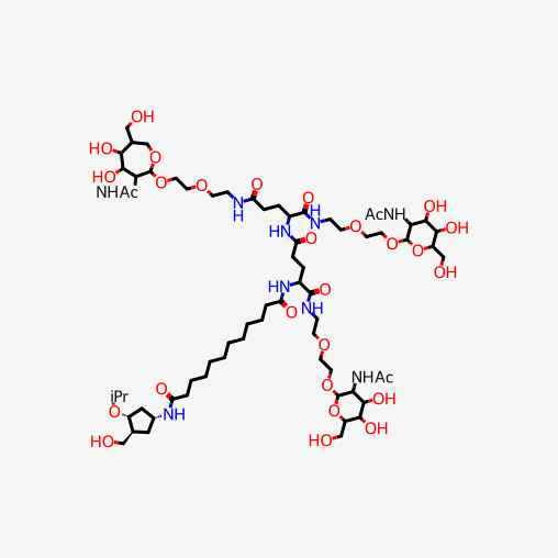 CC(=O)NC1C(OCCOCCNC(=O)CCC(NC(=O)CCC(NC(=O)CCCCCCCCCCC(=O)N[C@@H]2C[C@@H](CO)[C@H](OC(C)C)C2)C(=O)NCCOCCOC2OC(CO)C(O)C(O)C2NC(C)=O)C(=O)NCCOCCOC2OC(CO)C(O)C(O)C2NC(C)=O)OCC(CO)C(O)C1O